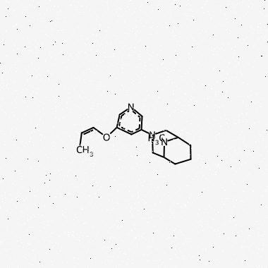 C/C=C\Oc1cncc(N2CC3CCCC(C2)N3C)c1